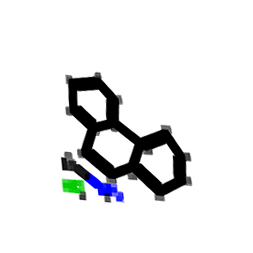 CCN.Cl.c1ccc2c(c1)ccc1ccccc12